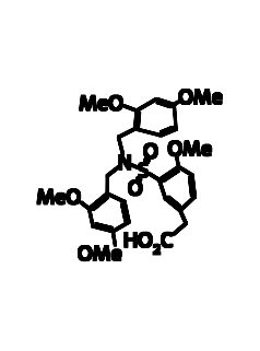 COc1ccc(CN(Cc2ccc(OC)cc2OC)S(=O)(=O)c2cc(CC(=O)O)ccc2OC)c(OC)c1